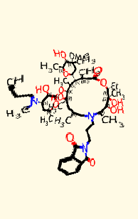 C#CCCN(C)[C@H]1C[C@@H](C)O[C@@H](O[C@@H]2[C@@H](C)[C@H](C3C[C@@](C)(OC)[C@@H](O)[C@H](C)O3)[C@@H](C)C(=O)O[C@H](CC)[C@@](C)(O)[C@H](O)[C@@H](C)N(CCCN3C(=O)c4ccccc4C3=O)C[C@H](C)C[C@@]2(C)O)[C@@H]1O